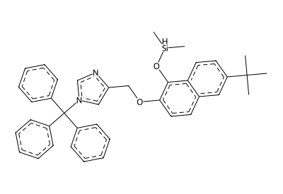 C[SiH](C)Oc1c(OCc2cn(C(c3ccccc3)(c3ccccc3)c3ccccc3)cn2)ccc2cc(C(C)(C)C)ccc12